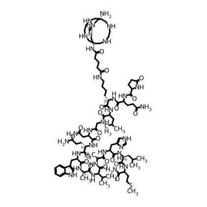 CSCCC(NC(=O)[C@H](CC(C)C)NC(=O)C(Cc1c[nH]cn1)NC(=O)[C@H](C)NC(=O)C(NC(=O)[C@H](C)NC(=O)C(Cc1c[nH]c2ccccc12)NC(=O)[C@H](CCC(N)=O)NC(=O)C(CC(N)=O)NC(=O)CNC(=O)C(CC(C)C)NC(=O)[C@H](CCCCNC(=O)CCCC(=O)N[C@]12CNCCNC[C@](N)(CNCCNC1)CNCCNC2)NC(=O)C(CCC(N)=O)NC(=O)C1CCC(=O)N1)C(C)C)C(N)=O